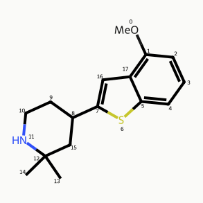 COc1cccc2sc(C3CCNC(C)(C)C3)cc12